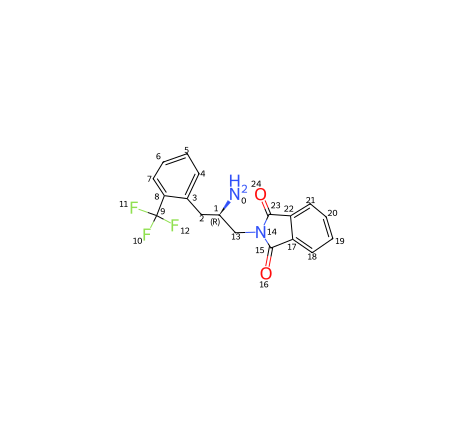 N[C@H](Cc1ccccc1C(F)(F)F)CN1C(=O)c2ccccc2C1=O